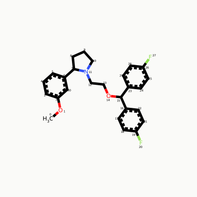 COc1cccc(C2CCCN2CCOC(c2ccc(F)cc2)c2ccc(F)cc2)c1